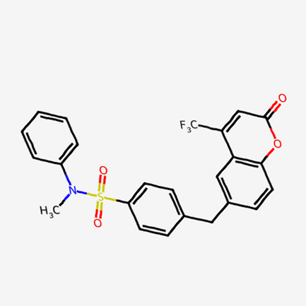 CN(c1ccccc1)S(=O)(=O)c1ccc(Cc2ccc3oc(=O)cc(C(F)(F)F)c3c2)cc1